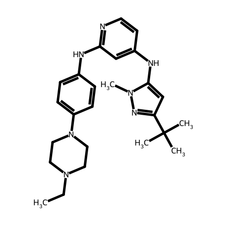 CCN1CCN(c2ccc(Nc3cc(Nc4cc(C(C)(C)C)nn4C)ccn3)cc2)CC1